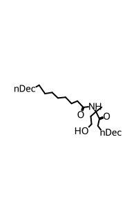 CCCCCCCCCCCCCCCCCC(=O)NC(C)(CCO)C(=O)CCCCCCCCCCC